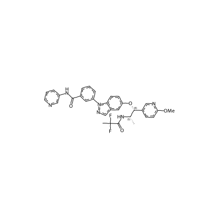 COc1ccc([C@@H](Oc2ccc3c(cnn3-c3cccc(C(=O)Nc4cccnc4)c3)c2)[C@H](C)NC(=O)C(C)(F)F)cn1